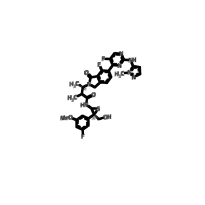 COc1cc(F)cc([C@@]2(CO)SC2NC(=O)C(C)[C@@H](C)N2Cc3ccc(-c4nc(Nc5ccnn5C)ncc4F)c(F)c3C2=O)c1